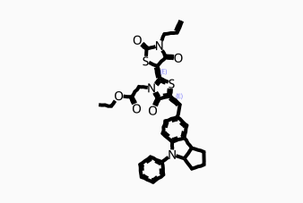 C=CCN1C(=O)S/C(=c2/s/c(=C/c3ccc4c(c3)C3CCCC3N4c3ccccc3)c(=O)n2CC(=O)OCC)C1=O